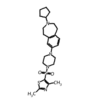 Cc1nc(C)c(S(=O)(=O)N2CCN(c3ccc4c(c3)CCN(C3CCCC3)CC4)CC2)s1